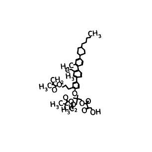 C=C(C)C(=O)OCCCc1cc(-c2ccc(-c3ccc(C4CCC(CCCCC)CC4)cc3C)c(CC)c2)ccc1OCC(COC)(COC(=O)C(=C)C)COC(=O)C(=O)CO